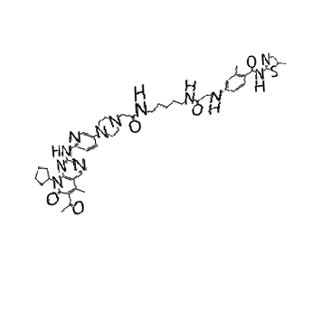 CC(=O)c1c(C)c2cnc(Nc3ccc(N4CCN(CC(=O)NCCCCCNC(=O)CNc5ccc(C(=O)NC6=NCC(C)S6)c(C)c5)CC4)cn3)nc2n(C2CCCC2)c1=O